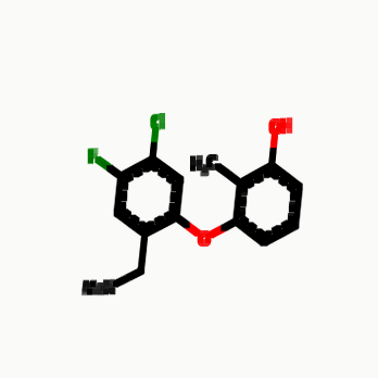 CNCc1cc(F)c(Cl)cc1Oc1cccc(O)c1C